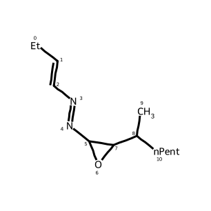 CCC=CN=NC1OC1C(C)CCCCC